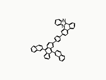 c1ccc2cc(-c3c4ccccc4c(-c4ccc5ccccc5c4)c4cc(-c5ccc(-c6ccc7c8ccccc8c8nc9ccccc9n8c7c6)cc5)ccc34)ccc2c1